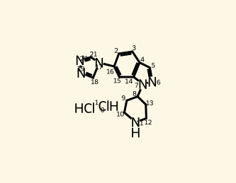 Cl.Cl.c1cc2cnn(C3CCNCC3)c2cc1-n1cnnc1